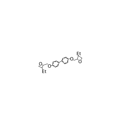 CCC1COC1COc1ccc(-c2ccc(OCC3OCC3CC)cc2)cc1